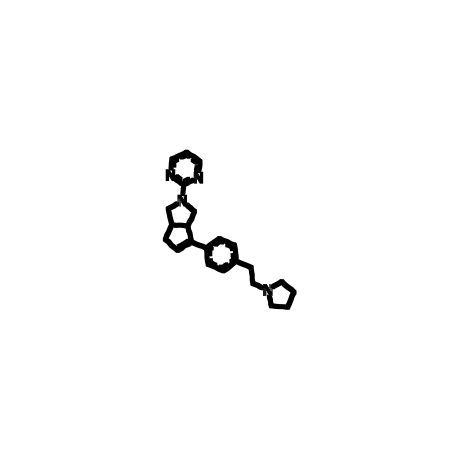 C1=C(c2ccc(CCN3CCCC3)cc2)C2CN(c3ncccn3)CC2C1